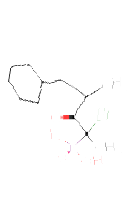 CC(CC1CCCCC1)C(=O)C(C)(Br)P(=O)(O)O